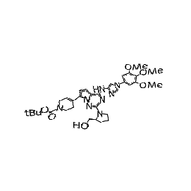 COc1cc(-n2cnc(Nc3nc(N4CCC[C@H]4CO)nn4c(C5=CCN(C(=O)OC(C)(C)C)CC5)ccc34)c2)cc(OC)c1OC